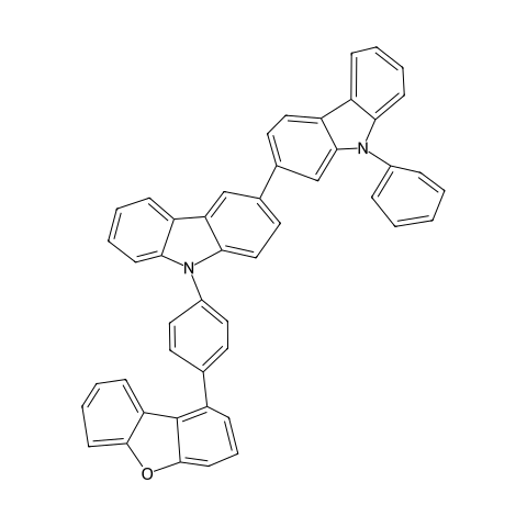 c1ccc(-n2c3ccccc3c3ccc(-c4ccc5c(c4)c4ccccc4n5-c4ccc(-c5cccc6oc7ccccc7c56)cc4)cc32)cc1